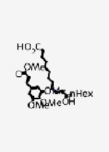 CCCCCC[C@@H](O)C/C=C\CCCCCCCC(=O)O.COC(=O)C=Cc1cc(OC)c(OC)c(OC)c1